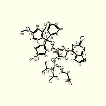 COc1ccc(C(OC[C@H]2OC(C3=NC(=O)N=C4N=CC=C43)C[C@H]2OP(OCCC#N)N(C(C)C)C(C)C)(c2ccccc2)c2ccc(OC)cc2C)cc1